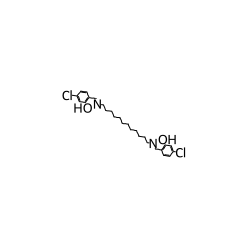 Oc1cc(Cl)ccc1C=NCCCCCCCCCCCCN=Cc1ccc(Cl)cc1O